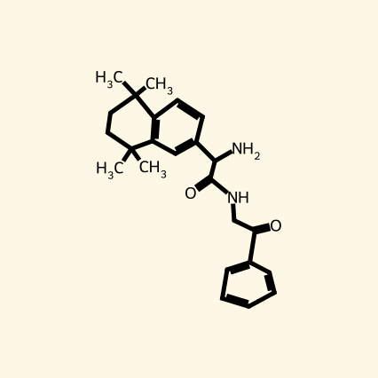 CC1(C)CCC(C)(C)c2cc(C(N)C(=O)NCC(=O)c3ccccc3)ccc21